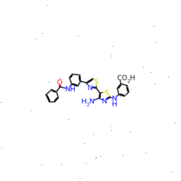 Nc1nc(Nc2cccc(C(=O)O)c2)sc1-c1nc(-c2cccc(NC(=O)c3ccccc3)c2)cs1